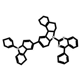 C1=CC(N2C3=C(CCC=C3)C3C=C(C4=CCC5C(=C4)C4C6=C(CCCC6)CCC4N5c4nc(-c5ccccc5)c5ccccc5n4)C=CC32)=CCC1